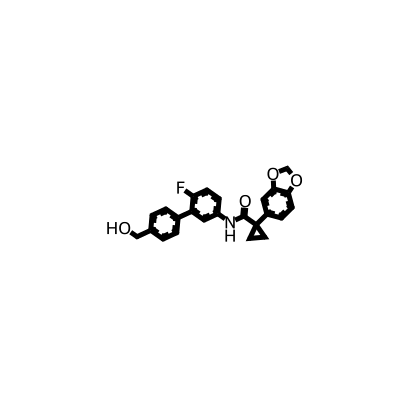 O=C(Nc1ccc(F)c(-c2ccc(CO)cc2)c1)C1(c2ccc3c(c2)OCO3)CC1